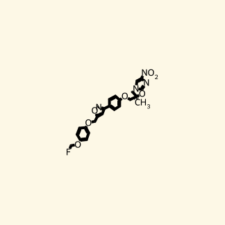 C[C@]1(COc2ccc(-c3cc(COc4ccc(OCF)cc4)on3)cc2)Cn2cc([N+](=O)[O-])nc2O1